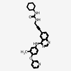 Cc1cc(Nc2ncnc3ccc(C#CCNC(=O)NC4CCCCC4)cc23)ccc1Oc1cccnc1